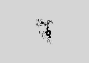 C=C(C)NCN(CC)CCc1ccc(CC)c(C)c1C